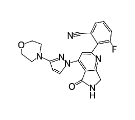 N#Cc1cccc(F)c1-c1cc(-n2ccc(N3CCOCC3)n2)c2c(n1)CNC2=O